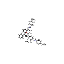 COc1ccc(/C=C/c2ccc(N(N=C(c3ccccc3)c3ccccc3)c3ccc(/C=C/c4ccc(OC(C)=O)cc4)cc3)c3ccccc23)cc1